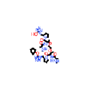 CNC(C)C(=O)NC(C(=O)N1CCCC1Cn1nnnc1O)C(C)OCCOC(C)C(NC(=O)C(C)NC)C(=O)N1CCCC1Cn1nnnc1Oc1ccccc1